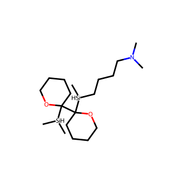 CN(C)CCCC[SiH](C)C1(C2([SiH](C)C)CCCCO2)CCCCO1